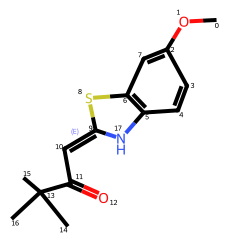 COc1ccc2c(c1)S/C(=C/C(=O)C(C)(C)C)N2